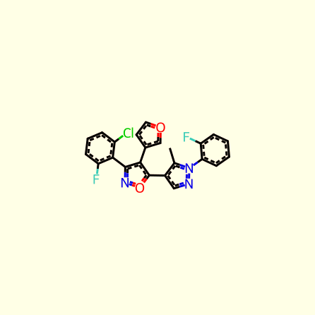 Cc1c(-c2onc(-c3c(F)cccc3Cl)c2-c2ccoc2)cnn1-c1ccccc1F